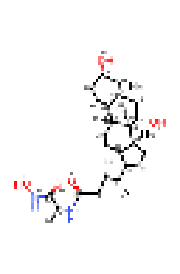 C[C@H](NC(=O)CC[C@@H](C)C1CC[C@H]2[C@@H]3[C@@H](O)C[C@@H]4C[C@H](O)CC[C@]4(C)[C@H]3CC[C@]12C)C(=O)NO